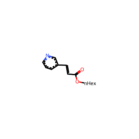 CCCCCCOC(=O)/C=C/c1cccnc1